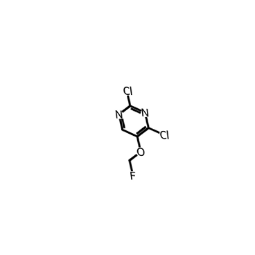 FCOc1cnc(Cl)nc1Cl